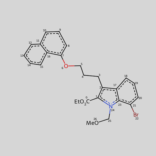 CCOC(=O)c1c(CCCOc2cccc3ccccc23)c2cccc(Br)c2n1COC